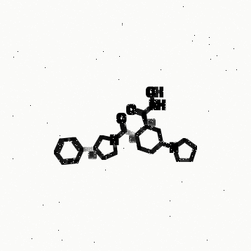 O=C(NO)[C@H]1CC(N2CCCC2)CC[C@@H]1C(=O)N1CC[C@H](c2ccccc2)C1